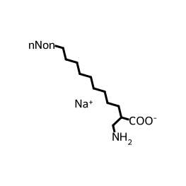 CCCCCCCCCCCCCCCCCCC(CN)C(=O)[O-].[Na+]